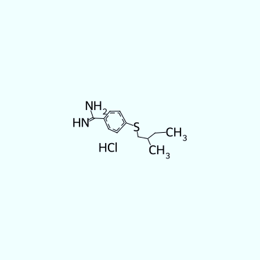 CCC(C)CSc1ccc(C(=N)N)cc1.Cl